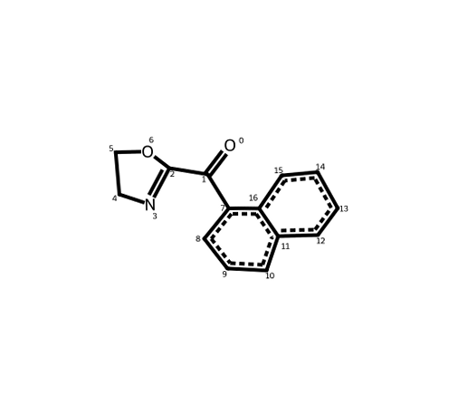 O=C(C1=NCCO1)c1cccc2ccccc12